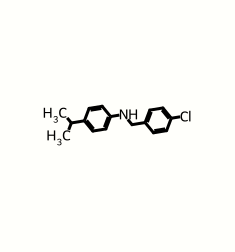 CC(C)c1ccc(NCc2ccc(Cl)cc2)cc1